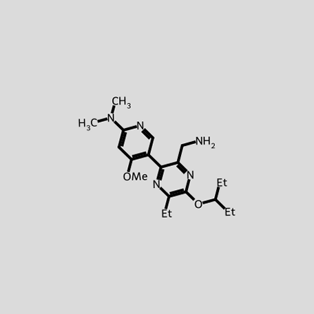 CCc1nc(-c2cnc(N(C)C)cc2OC)c(CN)nc1OC(CC)CC